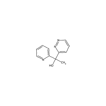 CC(O)(c1ccccn1)c1cccnn1